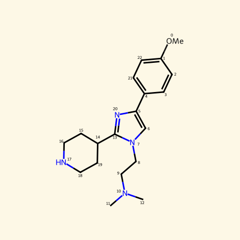 COc1ccc(-c2cn(CCN(C)C)c(C3CCNCC3)n2)cc1